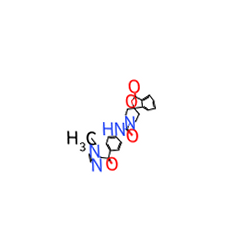 CCn1ccnc1C(=O)c1ccc(NC(=O)N2CCC3(CC2)OC(=O)c2ccccc23)cc1